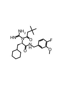 COc1cc(CNC(=O)[C@@H](CC2CCCCC2)N(C(=N)N)C(=O)CC(C)(C)C)ccc1F